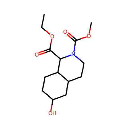 CCOC(=O)C1C2CCC(O)CC2CCN1C(=O)OC